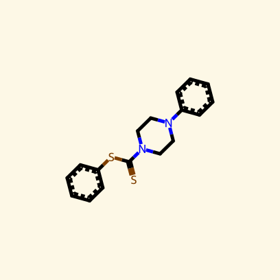 S=C(Sc1ccccc1)N1CCN(c2ccccc2)CC1